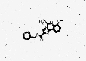 COc1cccc2c1nc(N)n1cc(C(=O)OCc3ccccc3)nc21